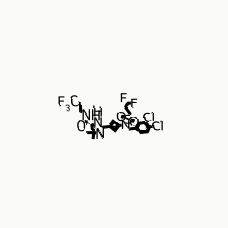 CC1(C)N=C(C23CC(N(Cc4ccc(Cl)c(Cl)c4)S(=O)(=O)CCC(F)F)(C2)C3)N[C@H]1C(=O)NCCC(F)(F)F